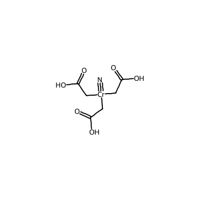 [N]#[Cr]([CH2]C(=O)O)([CH2]C(=O)O)[CH2]C(=O)O